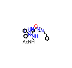 CC(=O)NCCNC1=NC(c2ccccc2)(c2ccccc2)Nc2[nH]c(C(=O)N3CCN(CCCc4ccccc4)CC3)cc21